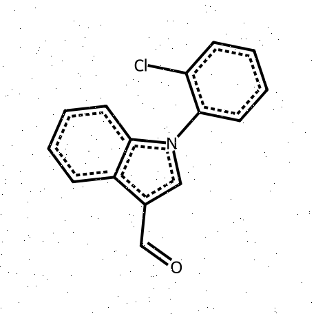 O=Cc1cn(-c2ccccc2Cl)c2ccccc12